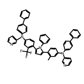 Cc1cc(N(c2ccc(-c3ccccc3)cc2)c2cccnc2)ccc1-c1ccc(-c2ccc(N(c3ccc(-c4ccccc4)cc3)c3cccnc3)cc2C(F)(F)F)n1-c1ccccc1